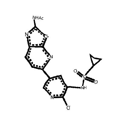 CC(=O)Nc1nc2ccc(-c3cnc(Cl)c(NS(=O)(=O)C4CC4)c3)nc2s1